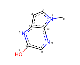 Cn1ccc2nc(O)cnc21